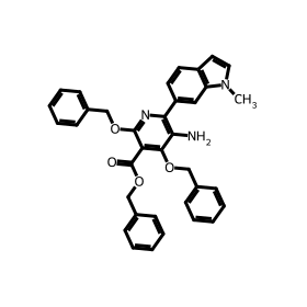 Cn1ccc2ccc(-c3nc(OCc4ccccc4)c(C(=O)OCc4ccccc4)c(OCc4ccccc4)c3N)cc21